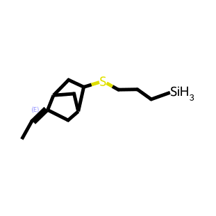 C/C=C1\CC2CC1CC2SCCC[SiH3]